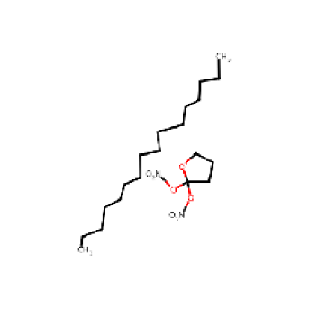 CCCCCCCCCCCCCCCC.O=[N+]([O-])OC1(O[N+](=O)[O-])CCCO1